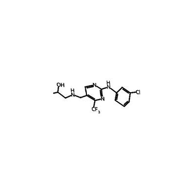 CC(O)CNCc1cnc(Nc2cccc(Cl)c2)nc1C(F)(F)F